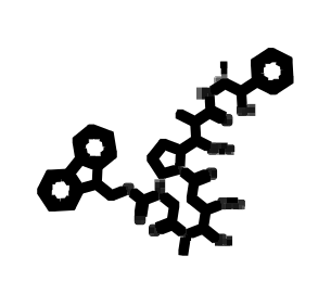 CCC(C)C(C(CC(=O)N1CCCC1C(OC)C(C)C(=O)N[C@H](C)C(O)c1ccccc1)OC)N(C)C(=O)CNC(=O)OCC1c2ccccc2-c2ccccc21